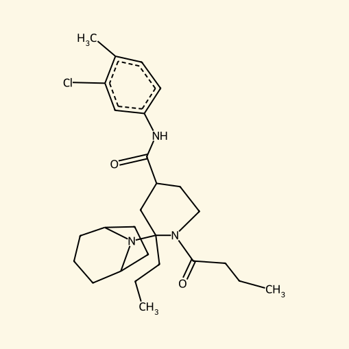 CCCC(=O)N1CCC(C(=O)Nc2ccc(C)c(Cl)c2)CC1(CCC)N1C2CCCC1CC2